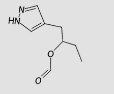 CCC(Cc1cn[nH]c1)OC=O